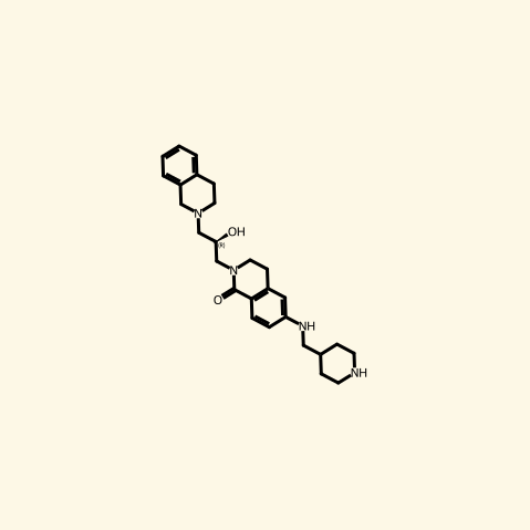 O=C1c2ccc(NCC3CCNCC3)cc2CCN1C[C@H](O)CN1CCc2ccccc2C1